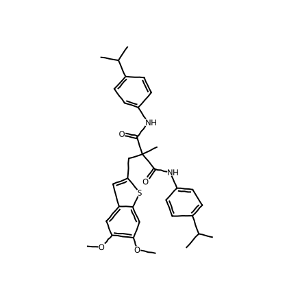 COc1cc2cc(CC(C)(C(=O)Nc3ccc(C(C)C)cc3)C(=O)Nc3ccc(C(C)C)cc3)sc2cc1OC